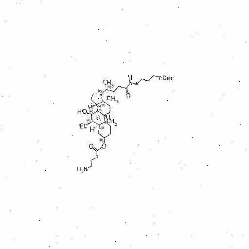 CCCCCCCCCCCCCCNC(=O)CC[C@@H](C)[C@H]1CC[C@H]2[C@@H]3[C@H](O)[C@H](CC)[C@@H]4C[C@H](OC(=O)CCCN)CC[C@]4(C)[C@H]3CC[C@]12C